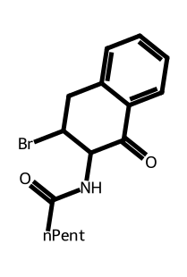 CCCCCC(=O)NC1C(=O)c2ccccc2CC1Br